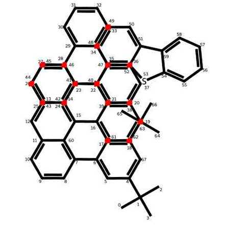 CC(C)(C)c1cc(-c2cccc3cccc(-c4ccccc4N(c4ccccc4-c4ccccc4-c4ccccc4-c4ccccc4)c4cccc5c4sc4ccccc45)c23)cc(C(C)(C)C)c1